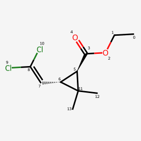 CCOC(=O)[C@@H]1[C@@H](C=C(Cl)Cl)C1(C)C